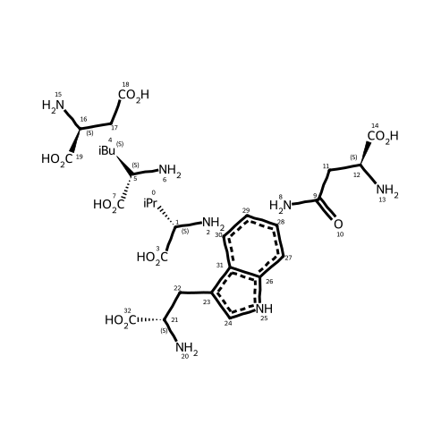 CC(C)[C@H](N)C(=O)O.CC[C@H](C)[C@H](N)C(=O)O.NC(=O)C[C@H](N)C(=O)O.N[C@@H](CC(=O)O)C(=O)O.N[C@@H](Cc1c[nH]c2ccccc12)C(=O)O